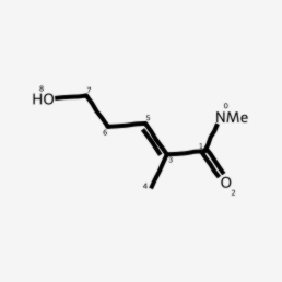 CNC(=O)C(C)=CCCO